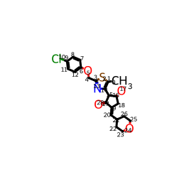 Cc1sc(COc2ccc(Cl)cc2)nc1C1C(=O)C/C(=C\C2CCOCC2)C1=O